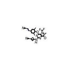 Cc1cc(/C=C/C#N)cc(C)c1Oc1nc(NC23CC(C#N)(C2)C3)nc2c(=O)n(C)n(C(F)F)c12